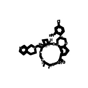 CCCc1cc(Cl)ccc1[C@@H]1COc2ccc3cc2N(C1)C[C@@H]1CC[C@H]1C(CN1CCc2ccncc2C1)CCC[C@H](C)[C@@H](C)SNC3=O